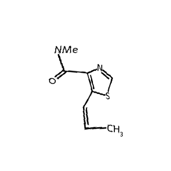 C/C=C\c1scnc1C(=O)NC